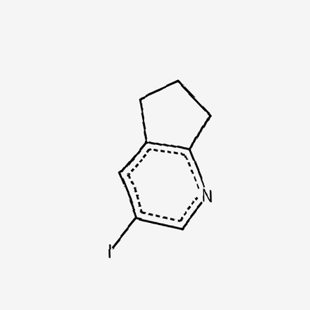 Ic1cnc2c(c1)CCC2